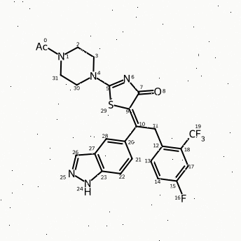 CC(=O)N1CCN(C2=NC(=O)C(=C(Cc3ccc(F)cc3C(F)(F)F)c3ccc4[nH]ncc4c3)S2)CC1